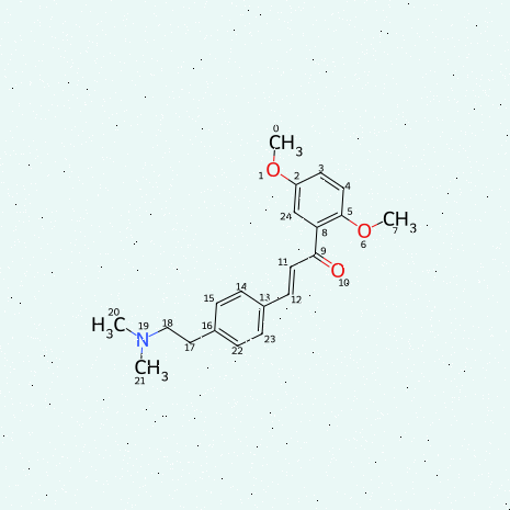 COc1ccc(OC)c(C(=O)C=Cc2ccc(CCN(C)C)cc2)c1